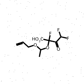 C=CCOC(C)OC(F)(C(=O)O)C(=O)C(F)F